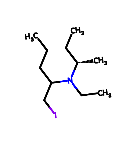 CCCC(CI)N(CC)[C@@H](C)CC